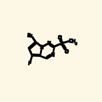 CS(=O)(=O)c1ncc2c(F)cc(Br)n2n1